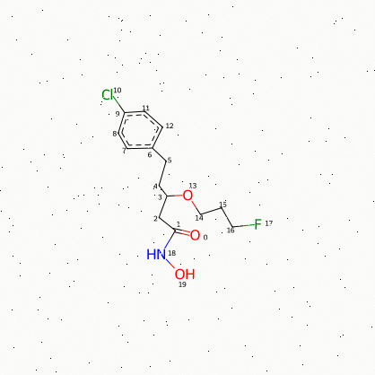 O=C(CC(CCc1ccc(Cl)cc1)OCCCF)NO